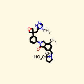 Cn1cnnc1CC1(c2cccc(N3Cc4c(cc(CN5CCC[C@@]5(C)C(=O)O)cc4C(F)(F)F)C3=O)c2)COC1